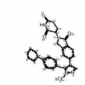 Cn1ncc(-c2ccc3c(c2)CN(C2CCC(=O)NC2=O)C3=O)c1-c1ccc(-c2ccccc2)cc1